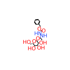 CC(NNC(=O)OCc1ccccc1)O[C@@H]1O[C@H](CO)[C@H](O)[C@H](O)[C@H]1O